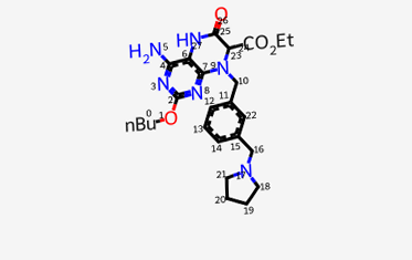 CCCCOc1nc(N)c2c(n1)N(Cc1cccc(CN3CCCC3)c1)C(C(=O)OCC)C(=O)N2